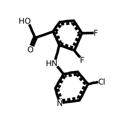 O=C(O)c1ccc(F)c(F)c1Nc1cncc(Cl)c1